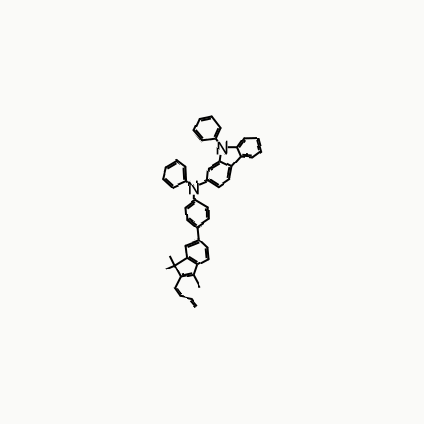 C=C/C=C\C1=C(C)c2ccc(-c3ccc(N(c4ccccc4)c4ccc5c6ccccc6n(-c6ccccc6)c5c4)cc3)cc2C1(C)C